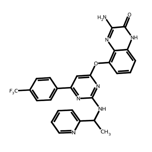 CC(Nc1nc(Oc2cccc3[nH]c(=O)c(N)nc23)cc(-c2ccc(C(F)(F)F)cc2)n1)c1ccccn1